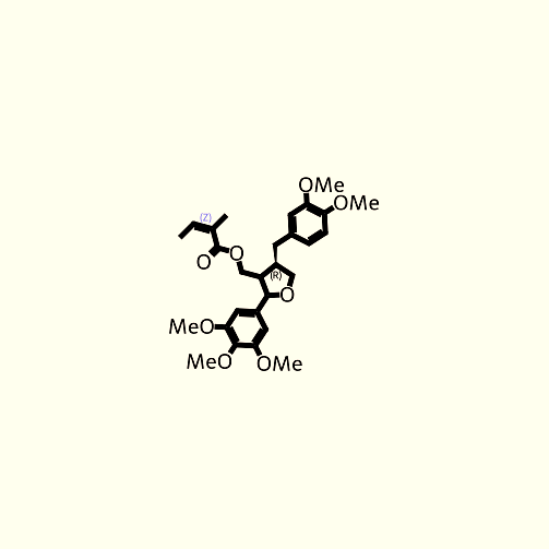 C/C=C(/C)C(=O)OCC1C(c2cc(OC)c(OC)c(OC)c2)OC[C@@H]1Cc1ccc(OC)c(OC)c1